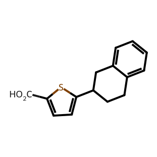 O=C(O)c1ccc(C2CCc3ccccc3C2)s1